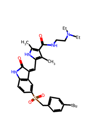 CCN(CC)CCNC(=O)c1c(C)[nH]c(/C=C2\C(=O)Nc3ccc(S(=O)(=O)Cc4ccc(C(C)(C)C)cc4)cc32)c1C